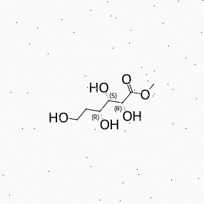 COC(=O)[C@H](O)[C@@H](O)[C@H](O)CCO